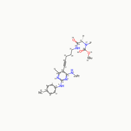 CCCNc1nc(Nc2ccc(C#N)cc2)nc(C)c1C#CCCCNC(=O)[C@H](C)N(C)C(=O)OC(C)(C)C